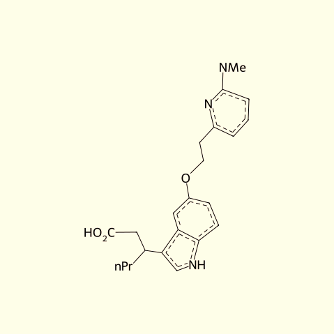 CCCC(CC(=O)O)c1c[nH]c2ccc(OCCc3cccc(NC)n3)cc12